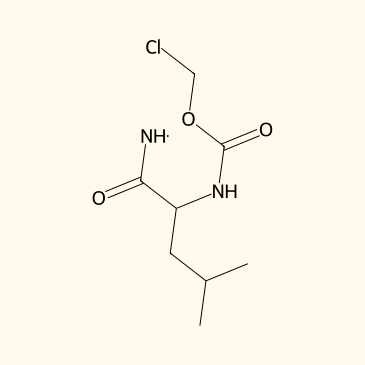 CC(C)CC(NC(=O)OCCl)C([NH])=O